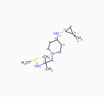 CSNC(C)(C)CN1CCC(N[C@@H]2C[C@H]2C)CC1